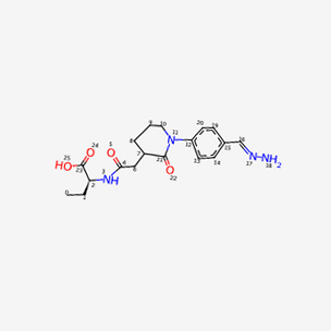 CC[C@H](NC(=O)CC1CCCN(c2ccc(C=NN)cc2)C1=O)C(=O)O